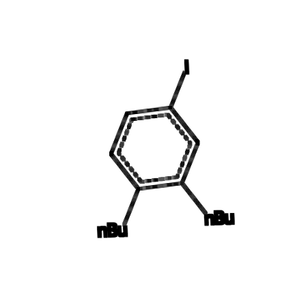 CCCCc1ccc(I)cc1CCCC